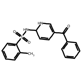 Cc1ccccc1S(=O)(=O)NC1C=CC(C(=O)c2ccccc2)=CN1